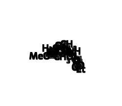 CCS(=O)(=O)c1ccc(CC(=O)Nc2cc(C)c3c(n2)CCC(C)(c2nnc(OC)cc2C)C3=O)cc1